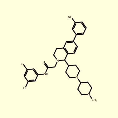 CN1CCC(N2CCC(C3c4ccc(-c5cccc(C#N)c5)cc4CCN3CC(=O)Nc3cc(Cl)cc(Cl)c3)CC2)CC1